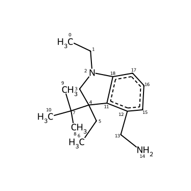 CCN1CC(CC)(C(C)(C)C)c2c(CN)cccc21